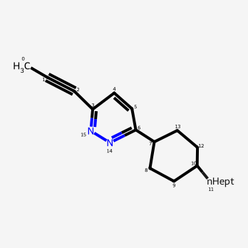 CC#Cc1ccc(C2CCC(CCCCCCC)CC2)nn1